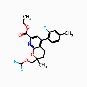 CCOC(=O)c1cc(-c2ccc(C)cc2F)c2c(n1)OC(C)(COC(F)F)CC2